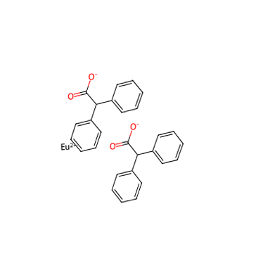 O=C([O-])C(c1ccccc1)c1ccccc1.O=C([O-])C(c1ccccc1)c1ccccc1.[Eu+2]